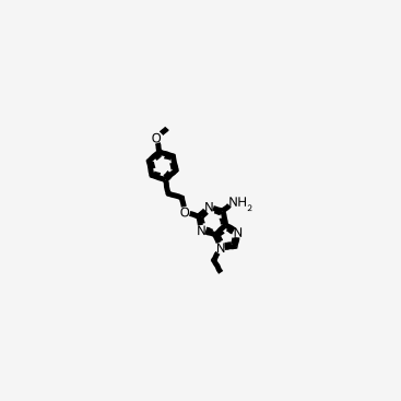 CCn1cnc2c(N)nc(OCCc3ccc(OC)cc3)nc21